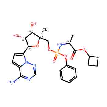 C[C@H](NP(=O)(OC[C@@]1(C#N)O[C@@H](c2ccc3c(N)ncnn23)[C@H](O)[C@@H]1O)Oc1ccccc1)C(=O)OC1CCC1